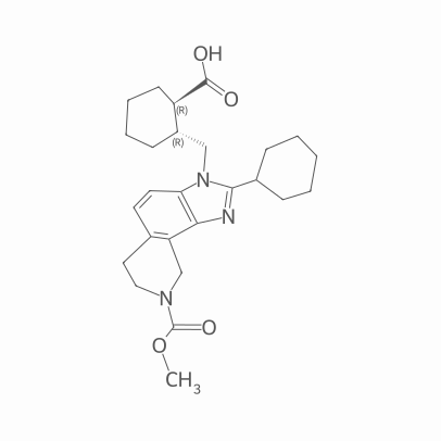 COC(=O)N1CCc2ccc3c(nc(C4CCCCC4)n3C[C@@H]3CCCC[C@H]3C(=O)O)c2C1